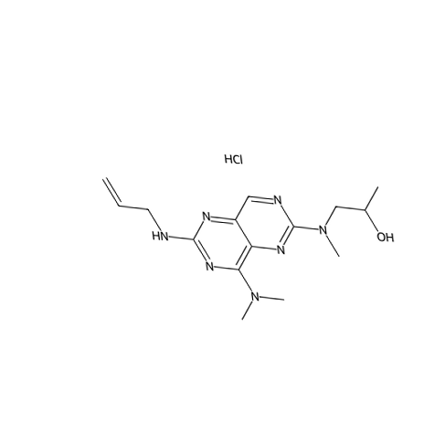 C=CCNc1nc(N(C)C)c2nc(N(C)CC(C)O)ncc2n1.Cl